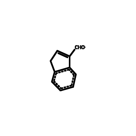 O=[C]C1=CCc2ccccc21